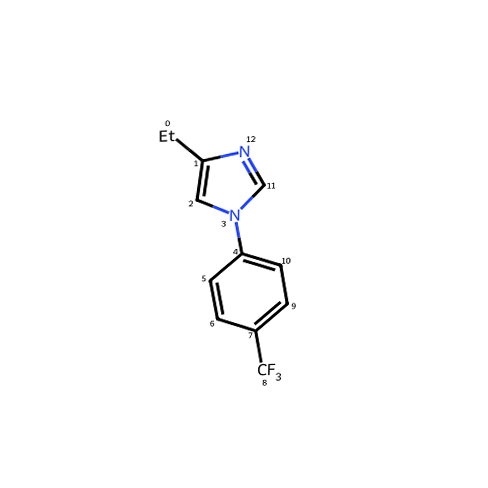 CCc1cn(-c2ccc(C(F)(F)F)cc2)cn1